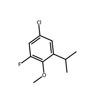 COc1c(F)cc(Cl)cc1C(C)C